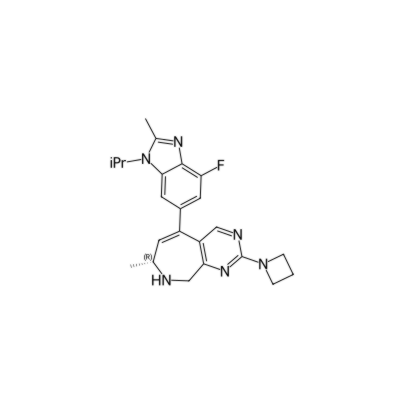 Cc1nc2c(F)cc(C3=C[C@@H](C)NCc4nc(N5CCC5)ncc43)cc2n1C(C)C